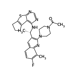 CC(=O)N1CCN(c2nc3c(C)c(F)ccc3cc2[C@H](C)Nc2ncnc3sc4c(c23)CCC4)CC1